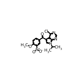 COc1ccc(C(=O)c2cn(C(C)C)c3ncnc(Cl)c23)cc1[N+](=O)[O-]